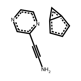 NC#Cc1cnccn1.c1cc2cc-2c1